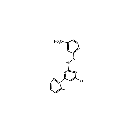 Cc1ccccc1-c1cc(Cl)nc(NSc2cccc(C(=O)O)c2)n1